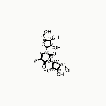 O=c1c(F)cn([C@@H]2O[C@H](CO)[C@@H](O)[C@H]2O)c(=O)n1[C@@H]1O[C@H](CO)[C@@H](O)[C@H]1O